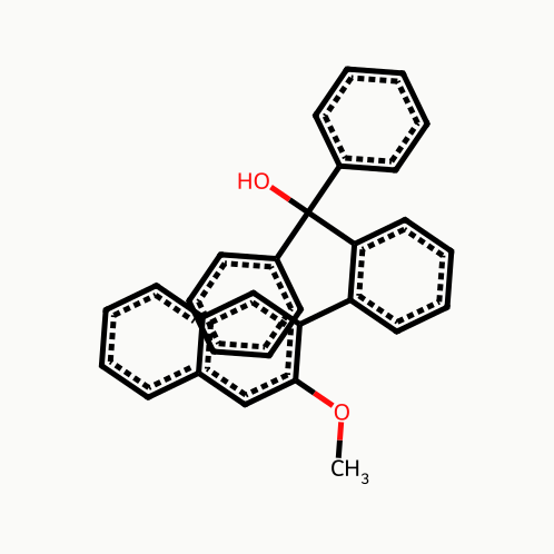 COc1cc2ccccc2cc1-c1ccccc1C(O)(c1ccccc1)c1ccccc1